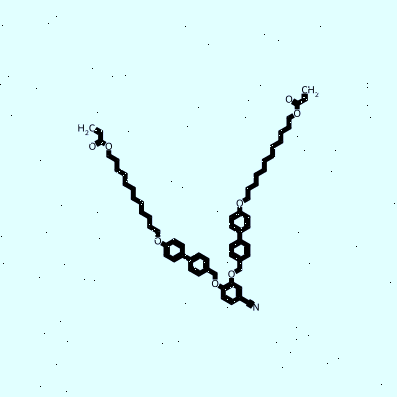 C=CC(=O)OCCCCCCCCCCCCOc1ccc(-c2ccc(COc3ccc(C#N)cc3OCc3ccc(-c4ccc(OCCCCCCCCCCCCOC(=O)C=C)cc4)cc3)cc2)cc1